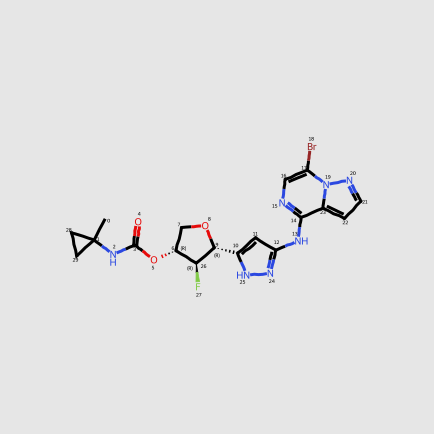 CC1(NC(=O)O[C@@H]2CO[C@H](c3cc(Nc4ncc(Br)n5nccc45)n[nH]3)[C@H]2F)CC1